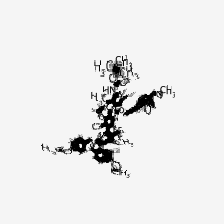 COCC12COC(COc3nc4c5c(c(Cl)c(-c6nc(N(Cc7ccc(OC)cc7)Cc7ccc(OC)cc7)cc(C)c6C(F)(F)F)c(F)c5n3)OCCN4[C@H](C)c3cccnc3NC(=O)OC(C)(C)C)(C1)C2